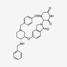 COc1ccc(CN2CC[C@@H](NCc3ccccc3)[C@H](Oc3ccc4c(c3)CN(C3CCC(=O)NC3=O)C4=O)C2)cc1